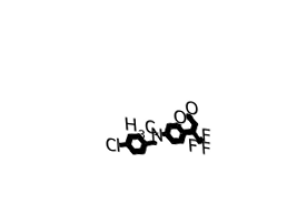 CN(Cc1ccc(Cl)cc1)c1ccc2c(C(F)(F)F)cc(=O)oc2c1